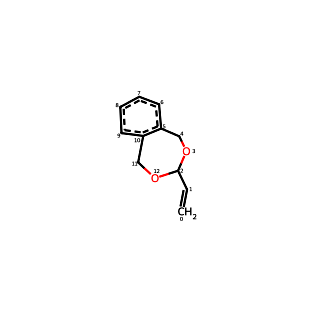 C=CC1OCc2ccccc2CO1